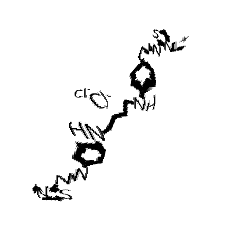 C[n+]1ccsc1N=Nc1ccc(NCCCCNc2ccc(N=Nc3scc[n+]3C)cc2)cc1.[Cl-].[Cl-]